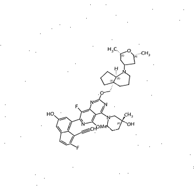 C#Cc1c(F)ccc2cc(O)cc(-c3nc(OC)c4c(N5CCC[C@@](C)(O)C5)nc(OC[C@]56CCC[C@H]5N(C5C[C@@H](C)O[C@@H](C)C5)CCC6)nc4c3F)c12